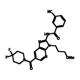 COCCCn1c(NC(=O)c2cccc(C#N)c2)nc2cc(C(=O)N3CCC(F)(F)CC3)cnc21